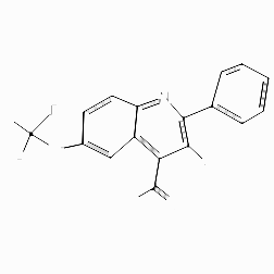 Cc1c(-c2ccccc2)nc2ccc(OC(F)(F)F)cc2c1C(=O)O